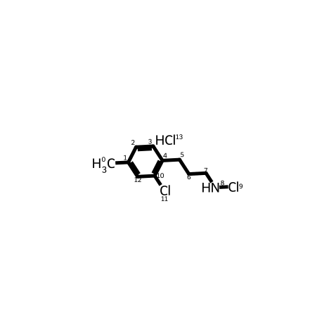 Cc1ccc(CCCNCl)c(Cl)c1.Cl